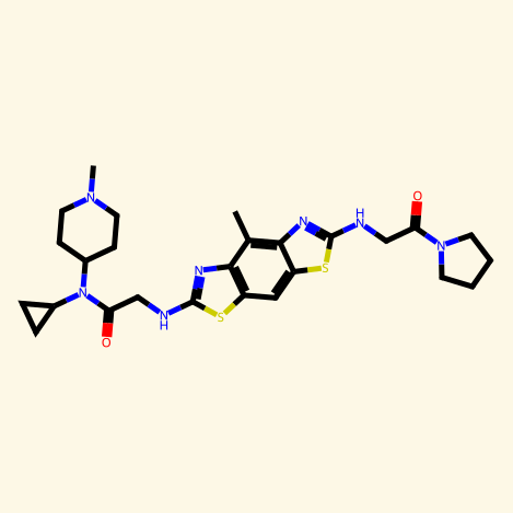 Cc1c2nc(NCC(=O)N3CCCC3)sc2cc2sc(NCC(=O)N(C3CC3)C3CCN(C)CC3)nc12